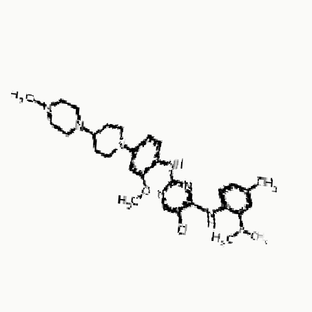 COc1cc(N2CCC(N3CCN(C)CC3)CC2)ccc1Nc1ncc(Cl)c(Nc2ccc(C)cc2P(C)C)n1